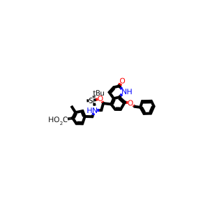 Cc1cc(CNCC(O[Si](C)(C)C(C)(C)C)c2ccc(OCc3ccccc3)c3[nH]c(=O)ccc23)ccc1C(=O)O